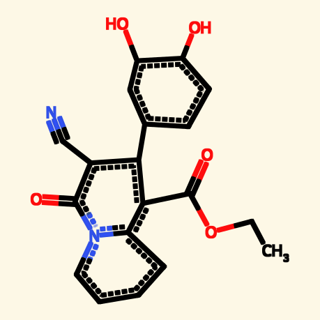 CCOC(=O)c1c(-c2ccc(O)c(O)c2)c(C#N)c(=O)n2ccccc12